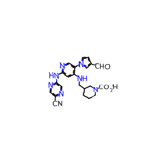 N#Cc1cnc(Nc2cc(NCC3CCCN(C(=O)O)C3)c(-n3ccc(C=O)c3)cn2)cn1